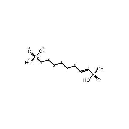 O=P(O)(O)C=CCCCCCCP(=O)(O)O